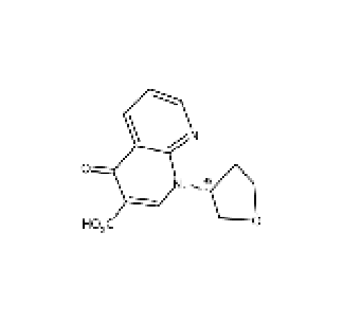 O=C(O)c1cn([C@@H]2CCOC2)c2ncccc2c1=O